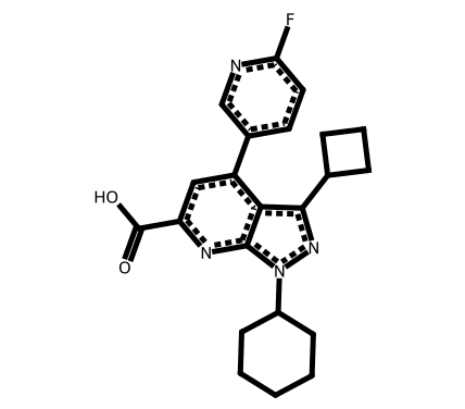 O=C(O)c1cc(-c2ccc(F)nc2)c2c(C3CCC3)nn(C3CCCCC3)c2n1